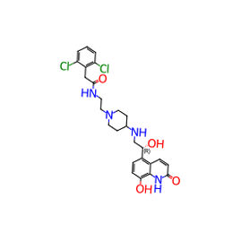 O=C(Cc1c(Cl)cccc1Cl)NCCN1CCC(NC[C@H](O)c2ccc(O)c3[nH]c(=O)ccc23)CC1